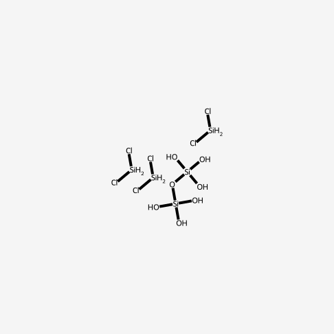 Cl[SiH2]Cl.Cl[SiH2]Cl.Cl[SiH2]Cl.O[Si](O)(O)O[Si](O)(O)O